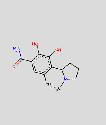 Cc1cc(C(N)=O)c(O)c(O)c1C1CCCN1C